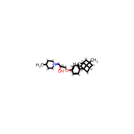 CC1CCN(C[C@H](O)COc2ccc(C34CC5CC6(C)CC(C)(C3)C564)cc2)CC1